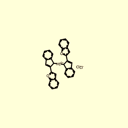 C1=C(c2cc3ccccc3o2)[CH]([Hf+2][CH]2C(c3cc4ccccc4o3)=Cc3ccccc32)c2ccccc21.[Cl-].[Cl-]